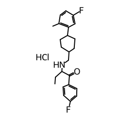 CCC(NCC1CCC(c2cc(F)ccc2C)CC1)C(=O)c1ccc(F)cc1.Cl